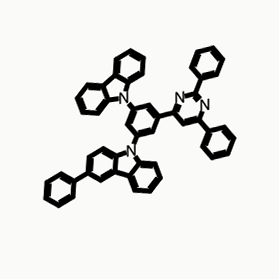 c1ccc(-c2ccc3c(c2)c2ccccc2n3-c2cc(-c3cc(-c4ccccc4)nc(-c4ccccc4)n3)cc(-n3c4ccccc4c4ccccc43)c2)cc1